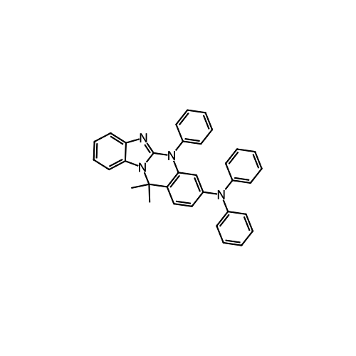 CC1(C)c2ccc(N(c3ccccc3)c3ccccc3)cc2N(c2ccccc2)c2nc3ccccc3n21